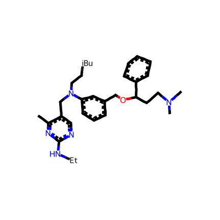 CCNc1ncc(CN(CCC(C)CC)c2cccc(COC(CCN(C)C)c3ccccc3)c2)c(C)n1